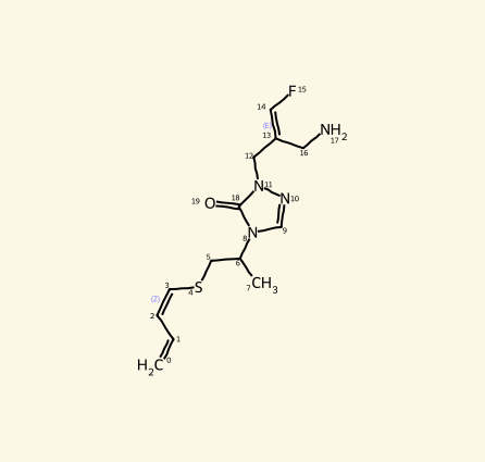 C=C/C=C\SCC(C)n1cnn(C/C(=C/F)CN)c1=O